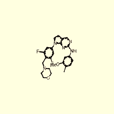 COc1cc(Nc2ncc3ccn(-c4cc(F)c(CN5CCOCC5)c(F)c4)c3n2)ccc1C